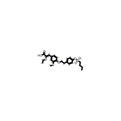 CCCCS(=O)(=O)Oc1ccc(CCOc2ccc(/C=C(\OCC)C(=O)O)cc2OC)cc1